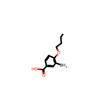 Bc1cc(C(=O)O)ccc1OCCCC